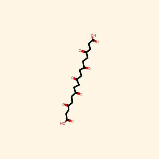 O=C(O)CCC(=O)CCC(=O)CCC(=O)CCC(=O)CCC(=O)CCC(=O)O